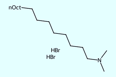 Br.Br.CCCCCCCCCCCCCCCCN(C)C